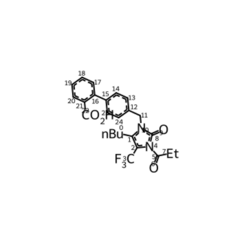 CCCCc1c(C(F)(F)F)n(C(=O)CC)c(=O)n1Cc1ccc(-c2ccccc2C(=O)O)cc1